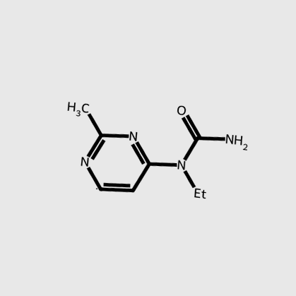 CCN(C(N)=O)c1c[c]nc(C)n1